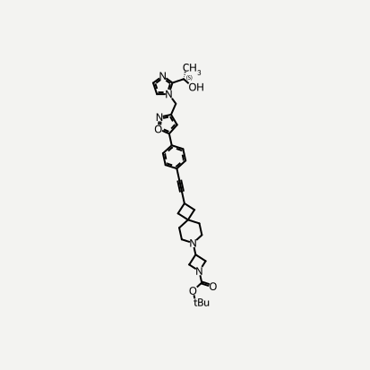 C[C@H](O)c1nccn1Cc1cc(-c2ccc(C#CC3CC4(CCN(C5CN(C(=O)OC(C)(C)C)C5)CC4)C3)cc2)on1